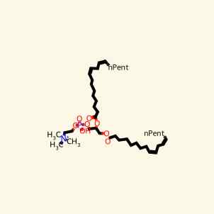 CCCCC/C=C\C/C=C\CCCCCCCC(=O)OCC(COP(=O)(O)OCC[N+](C)(C)C)OC(=O)CCCCCCC/C=C\C/C=C\CCCCC